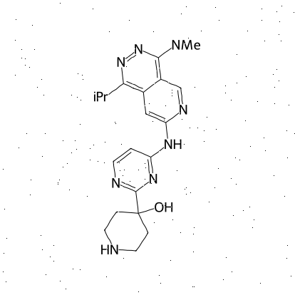 CNc1nnc(C(C)C)c2cc(Nc3ccnc(C4(O)CCNCC4)n3)ncc12